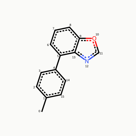 Cc1ccc(-c2cccc3o[c]nc23)cc1